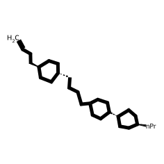 C=CCC[C@H]1CC[C@H](CCCCC2CCC([C@H]3CC[C@H](CCC)CC3)CC2)CC1